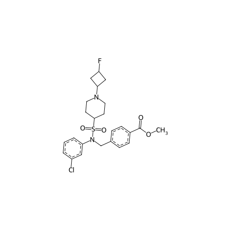 COC(=O)c1ccc(CN(c2cccc(Cl)c2)S(=O)(=O)C2CCN(C3CC(F)C3)CC2)cc1